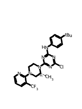 C[C@@H]1CN(c2ncccc2C(F)(F)F)CCN1c1nc(Cl)nc(Nc2ccc(C(C)(C)C)cc2)n1